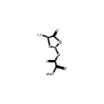 COC(=O)C(=O)OB1OC(=O)C(C(F)(F)F)O1